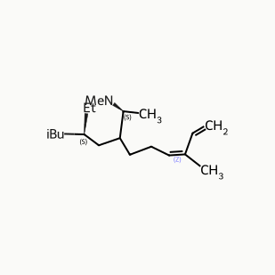 C=C/C(C)=C\CCC(C[C@H](CC)C(C)CC)[C@H](C)NC